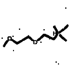 COCCOCC[PH](C)(C)C